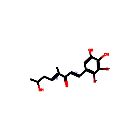 C/C(=C\CC(C)O)C(=O)/C=C/c1cc(O)c(O)c(Br)c1Br